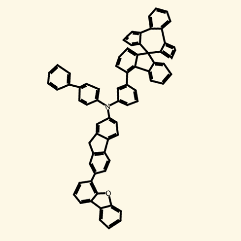 c1ccc(-c2ccc(N(c3cccc(-c4cccc5c4-c4ccccc4C54c5ccccc5-c5ccccc5-c5ccccc54)c3)c3ccc4c(c3)Cc3cc(-c5cccc6c5oc5ccccc56)ccc3-4)cc2)cc1